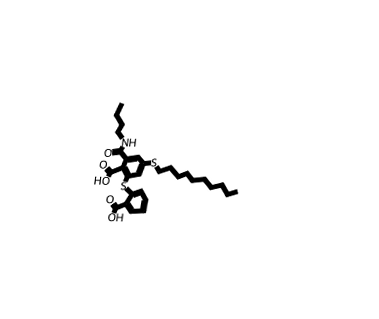 CCCCCCCCCCSc1cc(Sc2ccccc2C(=O)O)c(C(=O)O)c(C(=O)NCCCC)c1